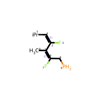 CC(/C(F)=C\C(C)C)=C(\F)CP